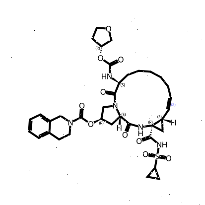 O=C(N[C@H]1CCCCC/C=C\[C@@H]2C[C@@]2(C(=O)NS(=O)(=O)C2CC2)NC(=O)[C@@H]2C[C@@H](OC(=O)N3CCc4ccccc4C3)CN2C1=O)O[C@@H]1CCOC1